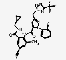 Cc1cc(C#N)cc(C(=O)NCC2CC2)c1NC(=O)c1cc(Cn2nnc(C(F)(F)F)n2)nn1-c1ccccc1Cl